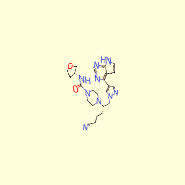 N#CCCC[C@@H](Cn1cc(-c2ncnc3[nH]ccc23)cn1)N1CCN(C(=O)N[C@@H]2CCOC2)CC1